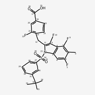 Cc1c(F)cc2c(c1F)c(F)c(Cc1ccc(C(=O)O)cc1F)n2S(=O)(=O)c1cccc(C(C)(C)C)c1